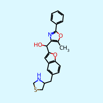 Cc1oc(-c2ccccc2)nc1C(O)c1cc2cc(CC3CSCN3)ccc2o1